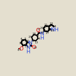 COc1cccc2c1[nH]c(=O)n2C1CCC(C(=O)Nc2ccc3cc[nH]c3c2)CC1